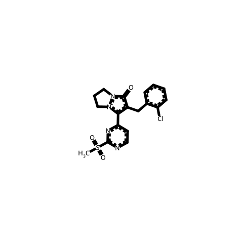 CS(=O)(=O)c1nccc(-c2c(Cc3ccccc3Cl)c(=O)n3n2CCC3)n1